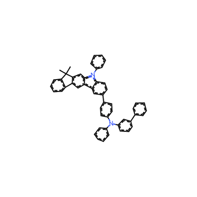 CC1(C)c2ccccc2-c2cc3c4cc(-c5ccc(N(c6ccccc6)c6cccc(-c7ccccc7)c6)cc5)ccc4n(-c4ccccc4)c3cc21